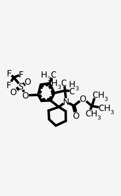 Cc1cc(OS(=O)(=O)C(F)(F)F)cc2c1C(C)(C)N(C(=O)OC(C)(C)C)C21CCCCC1